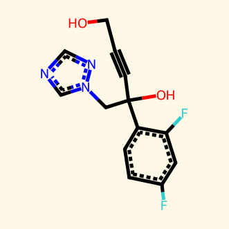 OCC#CC(O)(Cn1cncn1)c1ccc(F)cc1F